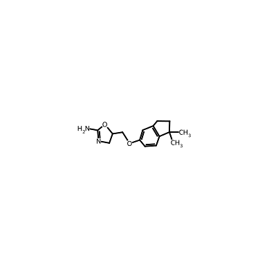 CC1(C)CCc2cc(OCC3CN=C(N)O3)ccc21